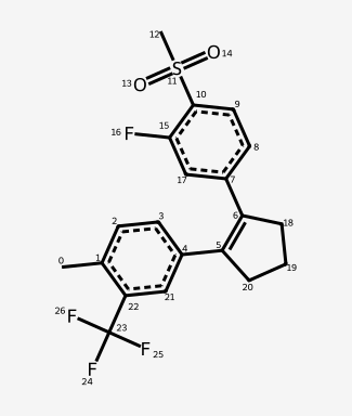 Cc1ccc(C2=C(c3ccc(S(C)(=O)=O)c(F)c3)CCC2)cc1C(F)(F)F